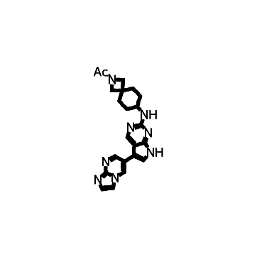 CC(=O)N1CC2(CCC(Nc3ncc4c(-c5cnc6nccn6c5)c[nH]c4n3)CC2)C1